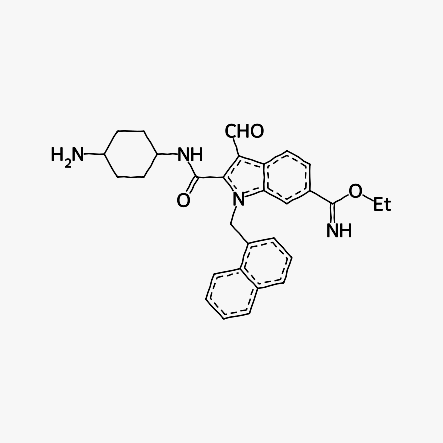 CCOC(=N)c1ccc2c(C=O)c(C(=O)NC3CCC(N)CC3)n(Cc3cccc4ccccc34)c2c1